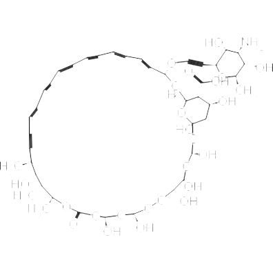 C[C@@H]1[C@H](O)[C@@H](C)/C=C/C=C/C=C/C=C/C=C/C=C/C=C/[C@H](OC#C[C@@H]2O[C@H](C)[C@@H](O)[C@H](N)[C@H]2O)C[C@@H]2O[C@](O)(C[C@@H](O)C[C@@H](O)[C@H](O)CC[C@@H](O)C[C@@H](O)CC(=O)O[C@H]1C)C[C@H](O)[C@H]2C(=O)O